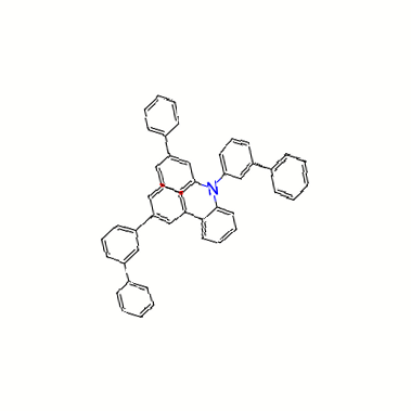 c1ccc(-c2cccc(-c3cccc(-c4ccccc4N(c4cccc(-c5ccccc5)c4)c4cccc(-c5ccccc5)c4)c3)c2)cc1